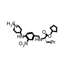 CC(C)C[C@H](NCc1ccc(NC2CCN(C)CC2)c([N+](=O)[O-])c1)C(=O)OC1CCCC1